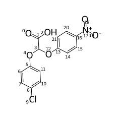 O=C(O)C(Oc1ccc(Cl)cc1)Oc1ccc([N+](=O)[O-])cc1